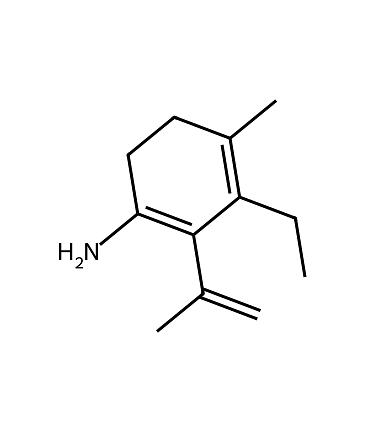 C=C(C)C1=C(N)CCC(C)=C1CC